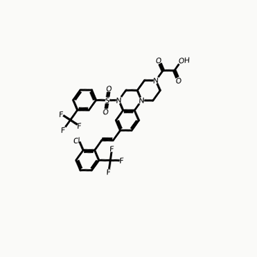 O=C(O)C(=O)N1CCN2c3ccc(C=Cc4c(Cl)cccc4C(F)(F)F)cc3N(S(=O)(=O)c3cccc(C(F)(F)F)c3)CC2C1